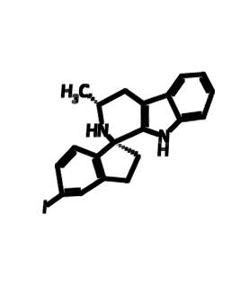 C[C@@H]1Cc2c([nH]c3ccccc23)[C@]2(CCc3cc(I)ccc32)N1